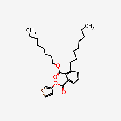 CCCCCCCCOC(=O)c1c(CCCCCCCC)cccc1C(=O)Oc1ccsc1